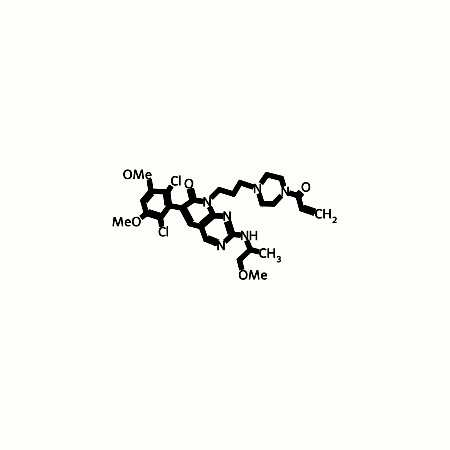 C=CC(=O)N1CCN(CCCn2c(=O)c(-c3c(Cl)c(OC)cc(OC)c3Cl)cc3cnc(NC(C)COC)nc32)CC1